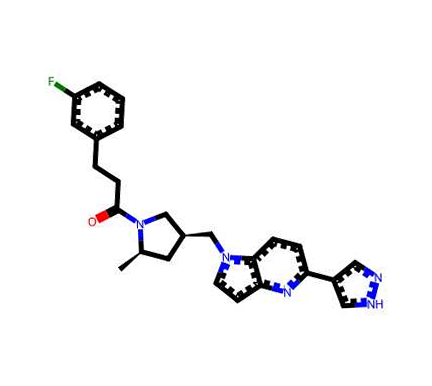 C[C@@H]1C[C@H](Cn2ccc3nc(-c4cn[nH]c4)ccc32)CN1C(=O)CCc1cccc(F)c1